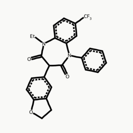 CCN1C(=O)C(c2ccc3c(c2)CCO3)C(=O)N(c2ccccc2)c2cc(C(F)(F)F)ccc21